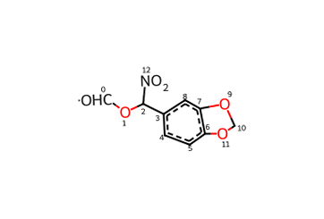 O=[C]OC(c1ccc2c(c1)OCO2)[N+](=O)[O-]